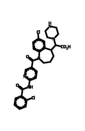 O=C(Nc1ccc(C(=O)N2CCCC(C(C(=O)O)N3CCNCC3)c3cc(Cl)ccc32)cn1)c1ccccc1Cl